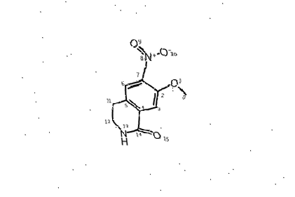 COc1cc2c(cc1[N+](=O)[O-])CCNC2=O